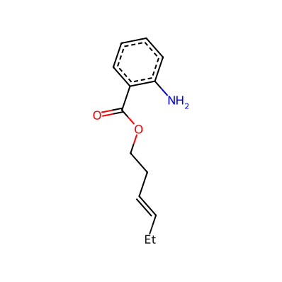 CCC=CCCOC(=O)c1ccccc1N